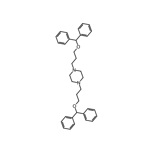 c1ccc(C(OCCCN2CCN(CCCOC(c3ccccc3)c3ccccc3)CC2)c2ccccc2)cc1